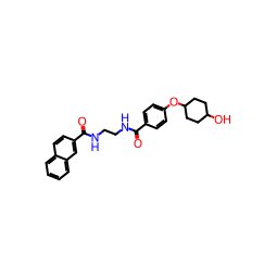 O=C(NCCNC(=O)c1ccc2ccccc2c1)c1ccc(OC2CCC(O)CC2)cc1